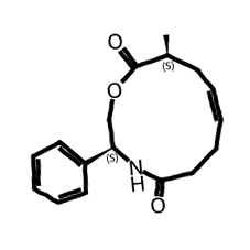 C[C@H]1CC=CCCC(=O)N[C@@H](c2ccccc2)COC1=O